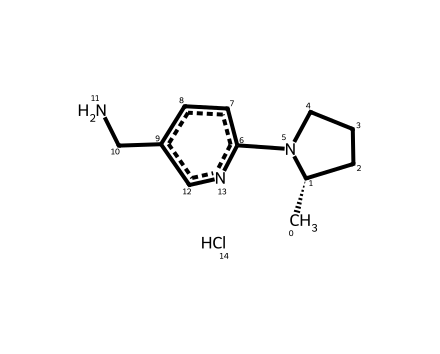 C[C@H]1CCCN1c1ccc(CN)cn1.Cl